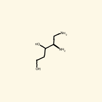 NCC(N)C(O)CCO